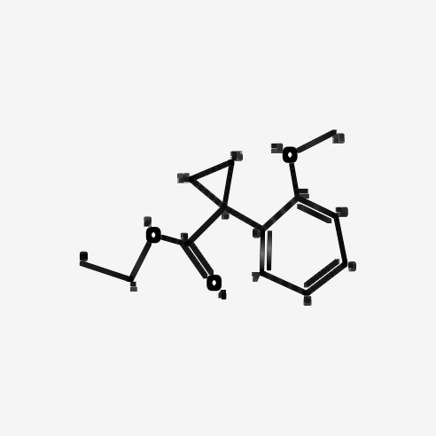 CCOC(=O)C1(c2ccccc2OC)CC1